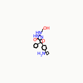 NC1(c2ccc(-c3oc4nc(NCCO)[nH]c(=O)c4c3-c3ccccc3)cc2)CCC1